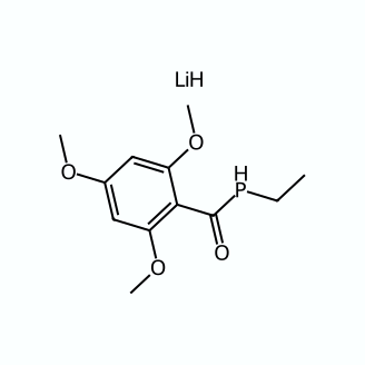 CCPC(=O)c1c(OC)cc(OC)cc1OC.[LiH]